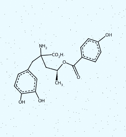 C[C@@H](CC(N)(Cc1ccc(O)c(O)c1)C(=O)O)OC(=O)c1ccc(O)cc1